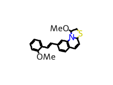 COc1ccccc1/C=C/c1ccc2c(c1)N1C(OC)CSC1C=C2